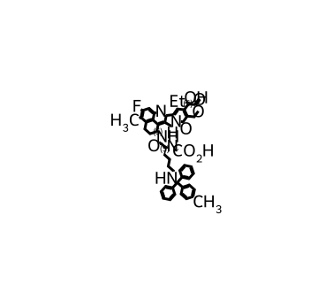 CC[C@@]1(O)C(=O)OCc2c1cc1n(c2=O)Cc2c-1nc1cc(F)c(C)c3c1c2[C@@H](NC(=O)[C@H](CCCCNC(c1ccccc1)(c1ccccc1)c1ccc(C)cc1)NC(=O)O)CC3